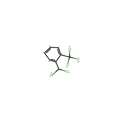 ClC(Cl)c1ccccc1C(Cl)(Cl)Cl